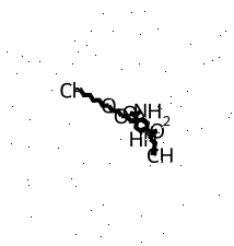 C#CCNC(=O)C1=CCC(CCOCCOCCCCCCCl)(C(N)=O)C=C1